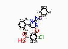 Cc1cccc(C)c1-c1cc(Oc2cc(C(=O)O)ccc2Cl)nc(NSc2ccccc2)n1